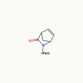 CCCCCN1C(=O)C2C=CC1C2